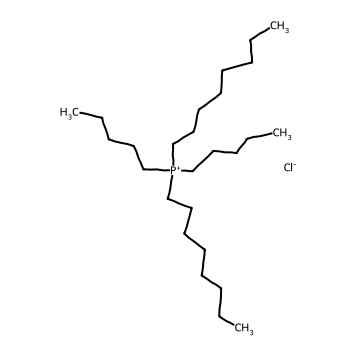 CCCCCCCC[P+](CCCCC)(CCCCC)CCCCCCCC.[Cl-]